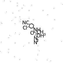 CC(O)(Cn1ccnc1)C(=O)Nc1ccc(C#N)c(Cl)c1